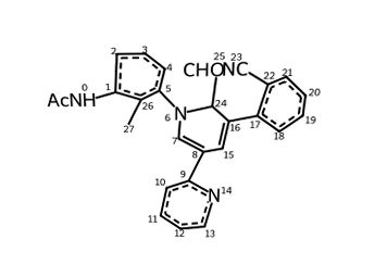 CC(=O)Nc1cccc(N2C=C(c3ccccn3)C=C(c3ccccc3C#N)C2C=O)c1C